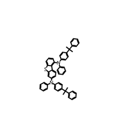 CC(C)(c1ccccc1)c1ccc(N(c2ccccc2)c2ccc3c(c2)sc2cccc(N(c4ccccc4)c4ccc(C(C)(C)c5ccccc5)cc4)c23)cc1